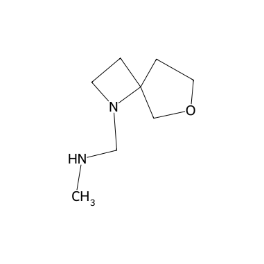 CNCN1CCC12CCOC2